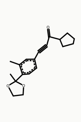 Cc1cc(C#CC(=O)C2CCCC2)ccc1C1(C)OCCO1